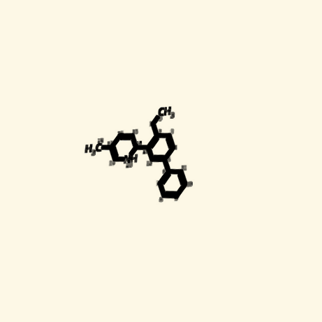 CCc1ccc(-c2ccccc2)cc1C1C=CC(C)=CN1